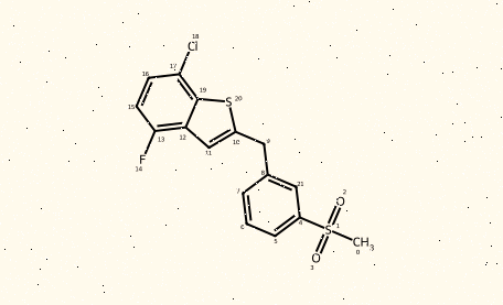 CS(=O)(=O)c1cccc(Cc2cc3c(F)ccc(Cl)c3s2)c1